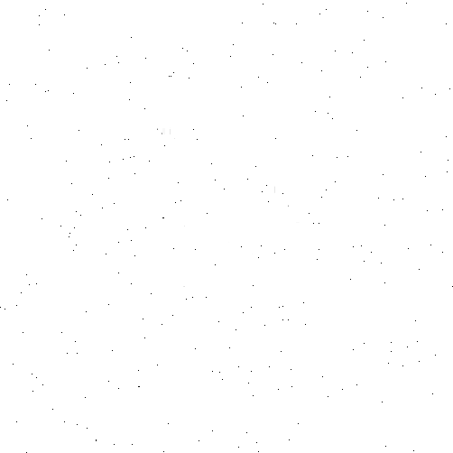 NS(=O)(=O)c1ccc(C2=C(c3ccc(C(F)(F)F)cc3)CC3(CCCC3)C2)cc1